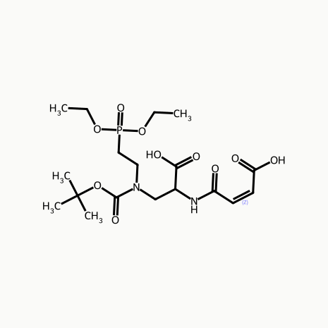 CCOP(=O)(CCN(CC(NC(=O)/C=C\C(=O)O)C(=O)O)C(=O)OC(C)(C)C)OCC